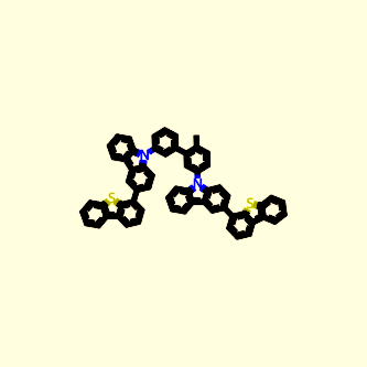 Cc1ccc(-n2c3ccccc3c3cc(-c4cccc5c4sc4ccccc45)ccc32)cc1-c1cccc(-n2c3ccccc3c3cc(-c4cccc5c4sc4ccccc45)ccc32)c1